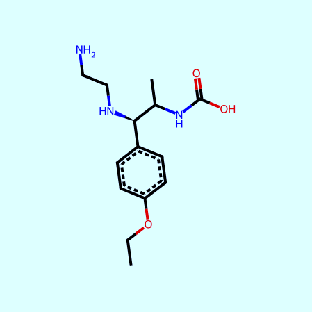 CCOc1ccc([C@@H](NCCN)C(C)NC(=O)O)cc1